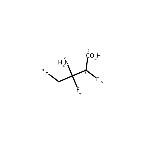 NC(F)(CF)C(F)C(=O)O